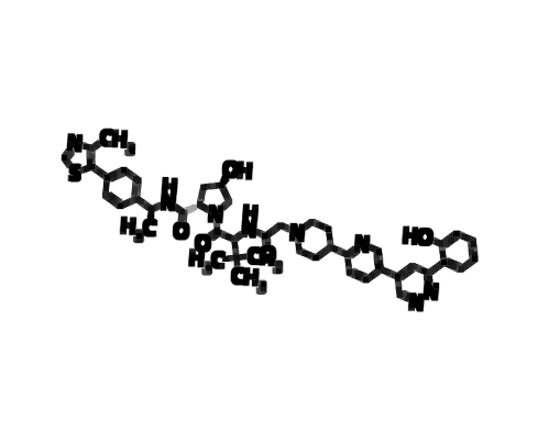 Cc1ncsc1-c1ccc([C@H](C)NC(=O)[C@@H]2C[C@@H](O)CN2C(=O)C(NC(=O)CN2CCC(c3ccc(-c4cnnc(-c5ccccc5O)c4)cn3)CC2)C(C)(C)C)cc1